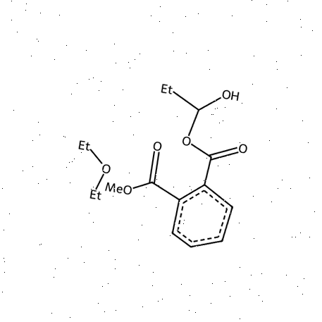 CCC(O)OC(=O)c1ccccc1C(=O)OC.CCOCC